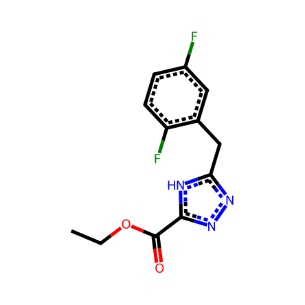 CCOC(=O)c1nnc(Cc2cc(F)ccc2F)[nH]1